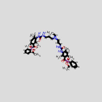 CCOP(=O)(C(=O)c1c(C)cc(C)c(NC(=O)NCCCN(CC)CCCNC(=O)Nc2c(C)cc(C)c(C(=O)P(=O)(OCC)c3ccccc3)c2C)c1C)c1ccccc1